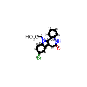 O=C(O)Cn1c2c(c3cc(Br)ccc31)CC(=O)Nc1ccccc1-2